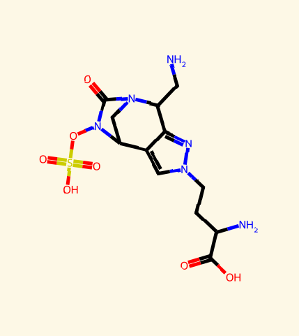 NCC1c2nn(CCC(N)C(=O)O)cc2C2CN1C(=O)N2OS(=O)(=O)O